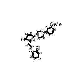 COc1cccc(N2CCN(c3ccc(=O)n(CCOc4ccccc4Cl)n3)CC2)c1